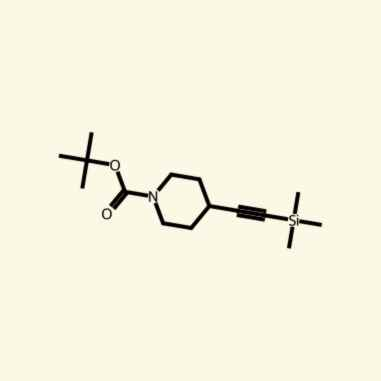 CC(C)(C)OC(=O)N1CCC(C#C[Si](C)(C)C)CC1